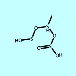 C[SH](OSO)OS(=O)O